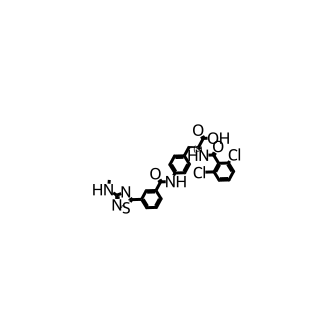 CNc1nsc(-c2cccc(C(=O)Nc3ccc(C[C@H](NC(=O)c4c(Cl)cccc4Cl)C(=O)O)cc3)c2)n1